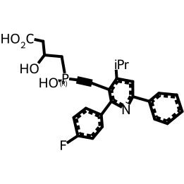 CC(C)c1cc(-c2ccccc2)nc(-c2ccc(F)cc2)c1C#C[P@@](O)CC(O)CC(=O)O